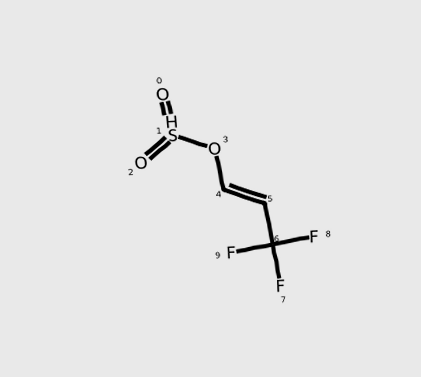 O=[SH](=O)OC=CC(F)(F)F